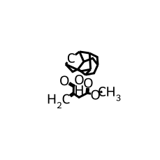 C1C2CC3C4CC5CC(C14)C(C2)C3C5.C=C(CC(=O)OC)C(=O)O